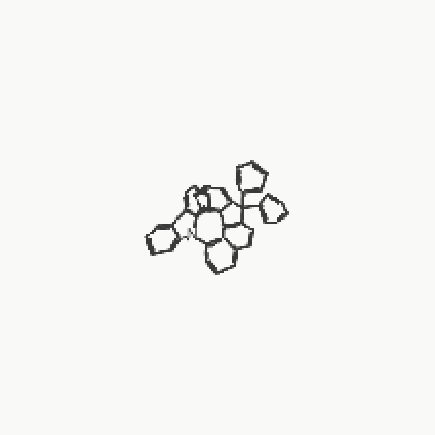 c1ccc(C2(c3ccccc3)c3ccccc3-c3c2ccc2cccc(-n4c5ccccc5c5ccccc54)c32)cc1